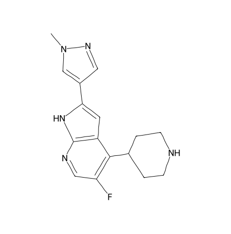 Cn1cc(-c2cc3c(C4CCNCC4)c(F)cnc3[nH]2)cn1